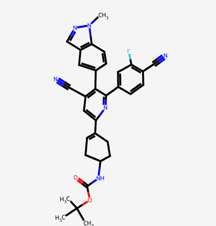 Cn1ncc2cc(-c3c(C#N)cc(C4=CCC(NC(=O)OC(C)(C)C)CC4)nc3-c3ccc(C#N)c(F)c3)ccc21